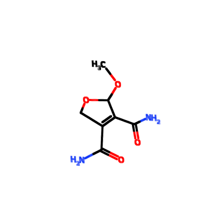 COC1OCC(C(N)=O)=C1C(N)=O